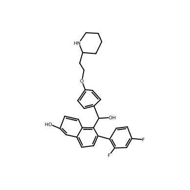 Oc1ccc2c(C(O)c3ccc(OCCC4CCCCN4)cc3)c(-c3ccc(F)cc3F)ccc2c1